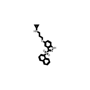 O=S(=O)(c1cccc2ccccc12)c1n[nH]c2ccc(OCCCNC3CC3)cc12